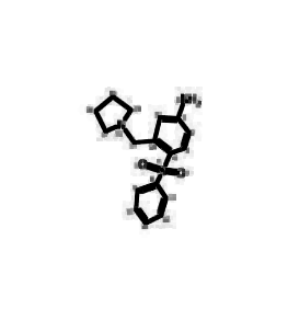 Nc1ccc(S(=O)(=O)c2ccccc2)c(CN2CCCC2)c1